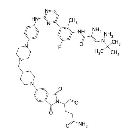 Cc1c(NC(=O)/C(N)=C/N(N)C(C)(C)C)cc(F)cc1-c1ccnc(Nc2ccc(N3CCN(CC4CCN(c5ccc6c(c5)C(=O)N(C(C=O)CCC(N)=O)C6=O)CC4)CC3)cc2)n1